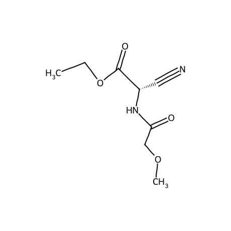 CCOC(=O)[C@H](C#N)NC(=O)COC